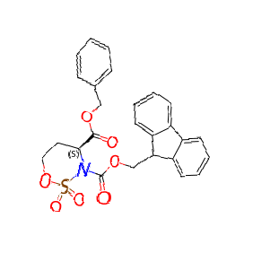 O=C(OCc1ccccc1)[C@@H]1CCOS(=O)(=O)N1C(=O)OCC1c2ccccc2-c2ccccc21